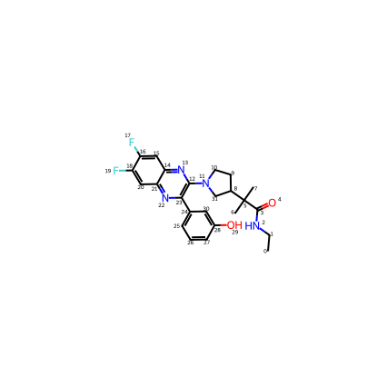 CCNC(=O)C(C)(C)C1CCN(c2nc3cc(F)c(F)cc3nc2-c2cccc(O)c2)C1